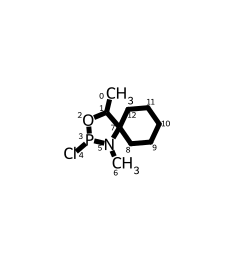 CC1OP(Cl)N(C)C12CCCCC2